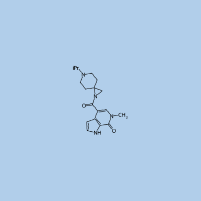 CC(C)N1CCC2(CC1)CN2C(=O)c1cn(C)c(=O)c2[nH]ccc12